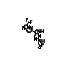 FC(F)c1cnc2ccc(-c3c[nH]c4nc(NCC5(F)CC5)ncc34)nn12